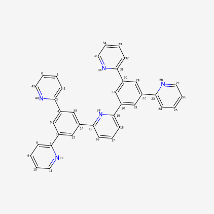 c1ccc(-c2cc(-c3ccccn3)cc(-c3cccc(-c4cc(-c5ccccn5)cc(-c5ccccn5)c4)n3)c2)nc1